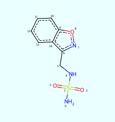 NS(=O)(=O)NCc1noc2ccccc12